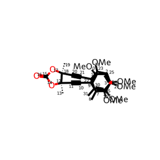 COc1cc(OC)c(OC)c(C)c1C#C[C@@]1(C)OC(=O)O[C@@]1(C)C#Cc1c(OC)cc(OC)c(OC)c1C